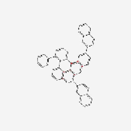 c1ccc(-c2ccccc2-c2c(-c3ccccc3)cccc2N(c2cccc(-c3ccc4ccccc4c3)c2)c2cccc(-c3ccc4ccccc4c3)c2)cc1